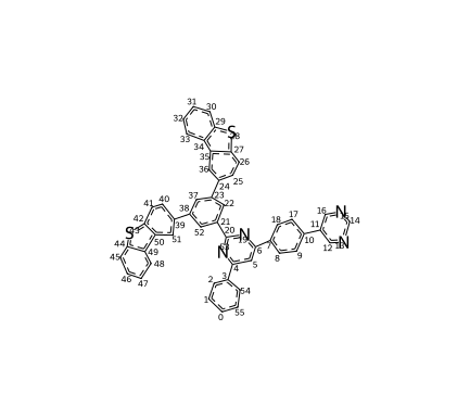 c1ccc(-c2cc(-c3ccc(-c4cncnc4)cc3)nc(-c3cc(-c4ccc5sc6ccccc6c5c4)cc(-c4ccc5sc6ccccc6c5c4)c3)n2)cc1